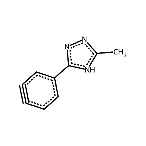 Cc1nnc(-c2cc#ccc2)[nH]1